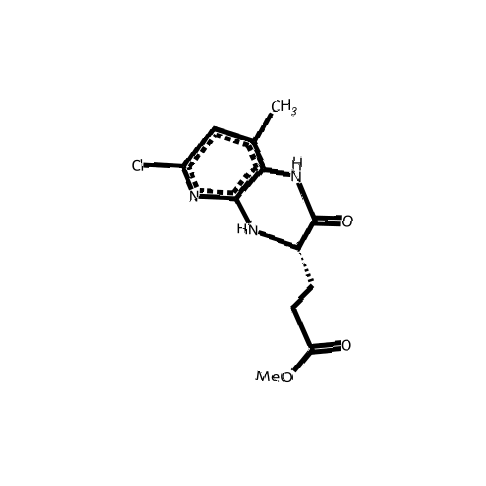 COC(=O)CC[C@@H]1Nc2nc(Cl)cc(C)c2NC1=O